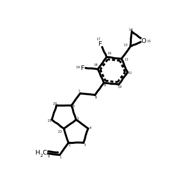 C=CC1CCC2C(CCc3ccc(C4CO4)c(F)c3F)CCC12